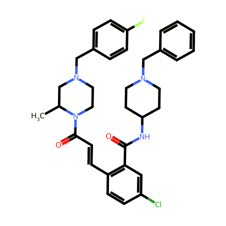 CC1CN(Cc2ccc(F)cc2)CCN1C(=O)/C=C/c1ccc(Cl)cc1C(=O)NC1CCN(Cc2ccccc2)CC1